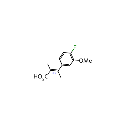 COc1cc(/C(C)=C(\C)C(=O)O)ccc1F